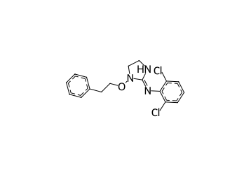 Clc1cccc(Cl)c1/N=C1\NCCN1OCCc1ccccc1